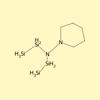 [SiH3][SiH2]N([SiH2][SiH3])N1CCCCC1